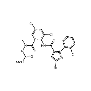 COC(=O)N(C)N(C)C(=O)c1cc(Cl)cc(Cl)c1NC(=O)c1cc(Br)nn1-c1ncccc1Cl